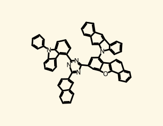 c1ccc(-n2c3ccccc3c3c(-c4nc(-c5ccc6ccccc6c5)nc(-c5cc(-n6c7ccccc7c7cc8ccccc8cc76)c6c(c5)oc5c7ccccc7ccc56)n4)cccc32)cc1